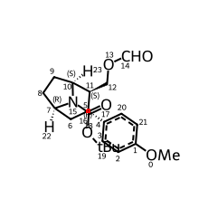 COc1ccc([C@@H]2C[C@H]3CC[C@@H]([C@H]2COC=O)N3C(=O)OC(C)(C)C)cc1